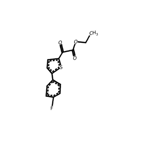 CCOC(=O)C(=O)c1ccc(-c2ccc(F)cc2)s1